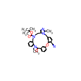 CCN1C(=O)c2cccc(c2)Oc2cc(ccc2C#N)Cn2c(cnc2C)CCN(C(=O)OC(C)(C)C)Cc2ccccc21